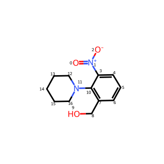 O=[N+]([O-])c1cccc(CO)c1N1CCCCC1